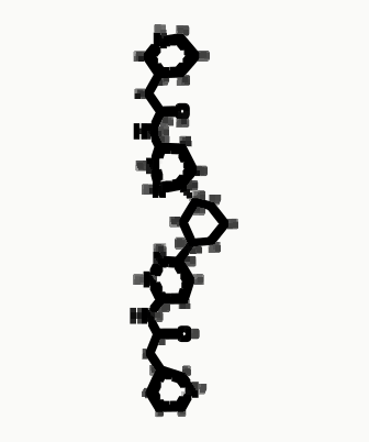 O=C(Cc1cccnc1)Nc1ccc([C@@H]2CCC[C@@H](c3ccc(NC(=O)Cc4cccnc4)nn3)C2)nn1